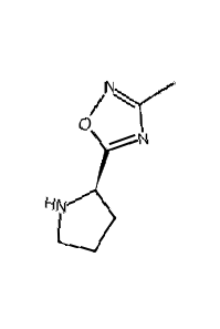 Cc1noc([C@H]2CCCN2)n1